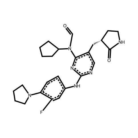 O=CN(c1nc(Nc2ccc(N3CCCC3)c(F)c2)ncc1C[C@@H]1CCNC1=O)C1CCCC1